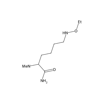 CCONCCCCC(NC)C(N)=O